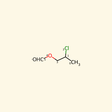 CC(Cl)CO[C]=O